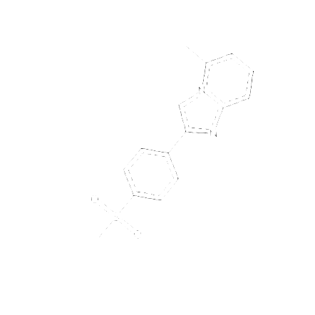 Cc1cccc2nc(-c3ccc(S(C)(=O)=O)cc3)cn12